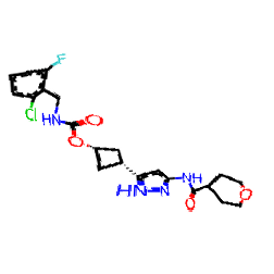 O=C(NCc1c(F)cccc1Cl)O[C@H]1C[C@@H](c2cc(NC(=O)C3CCOCC3)n[nH]2)C1